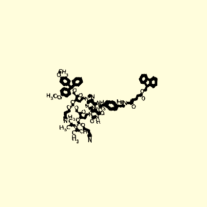 COc1ccc(C(OC[C@H]2O[C@@H](n3cnc4c(NC(=O)c5ccc(CNC(=O)CCCC(=O)OCC6c7ccccc7-c7ccccc76)cc5)ncnc43)CC2OP(OCCC#N)OC[C@H]2O[C@@H](n3cc(C)c(=O)[nH]c3=O)CC2OP(OCCC#N)N(C(C)C)C(C)C)(c2ccccc2)c2ccc(OC)cc2)cc1